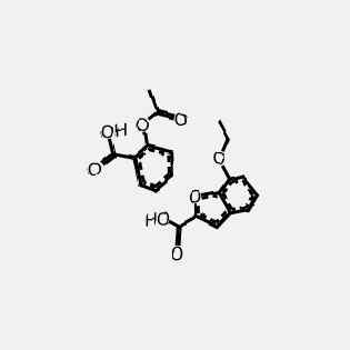 CC(=O)Oc1ccccc1C(=O)O.CCOc1cccc2cc(C(=O)O)oc12